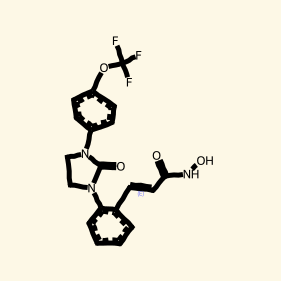 O=C(/C=C/c1ccccc1N1CCN(c2ccc(OC(F)(F)F)cc2)C1=O)NO